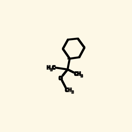 COC(C)(C)[C]1CCCCC1